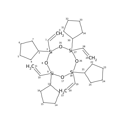 C=C[Si]1(C2CCCC2)O[Si](C=C)(C2CCCC2)O[Si](C=C)(C2CCCC2)O[Si](C=C)(C2CCCC2)O1